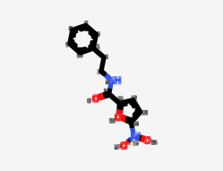 O=C(NCCc1ccccc1)c1ccc([N+](=O)[O-])o1